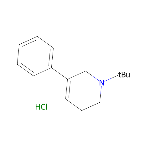 CC(C)(C)N1CCC=C(c2ccccc2)C1.Cl